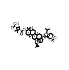 CC(C)[C@@H](CN[C@]12CC[C@@H](C3(C)CC3)[C@@H]1[C@H]1CC[C@@H]3[C@@]4(C)CC[C@H](OC(=O)[C@H]5C[C@@H](C(=O)O)C5(C)C)C(C)(C)[C@@H]4CC[C@@]3(C)[C@]1(C)CC2)N1CCS(=O)(=O)CC1